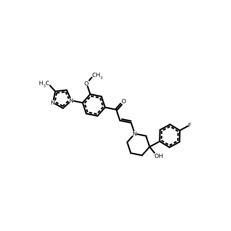 COc1cc(C(=O)/C=C/N2CCCC(O)(c3ccc(F)cc3)C2)ccc1-n1cnc(C)c1